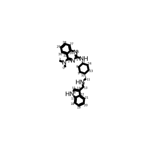 CN(C)c1nc(N[C@H]2CC[C@@H](CNCc3c[nH]c4ccccc34)CC2)nc2ccccc12